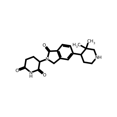 CC1(C)CNCCC1c1ccc2c(c1)CN(C1CCC(=O)NC1=O)C2=O